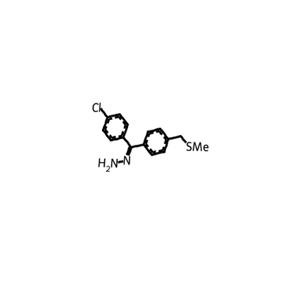 CSCc1ccc(C(=NN)c2ccc(Cl)cc2)cc1